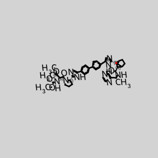 COC(=O)N[C@H](C(=O)N1CCC[C@H]1c1ncc(-c2ccc(-c3ccc(-c4cnc([C@@H]5C6CCC(C6)[C@H]5C(=O)NC(C)c5cnccn5)[nH]4)cc3)cc2)[nH]1)[C@@H](C)OC